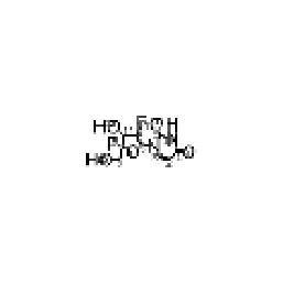 O=c1ccn(C2O[C@](F)(CO)[C@@H](O)[C@H]2F)c(=O)[nH]1